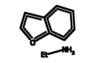 CCN.c1ccc2occc2c1